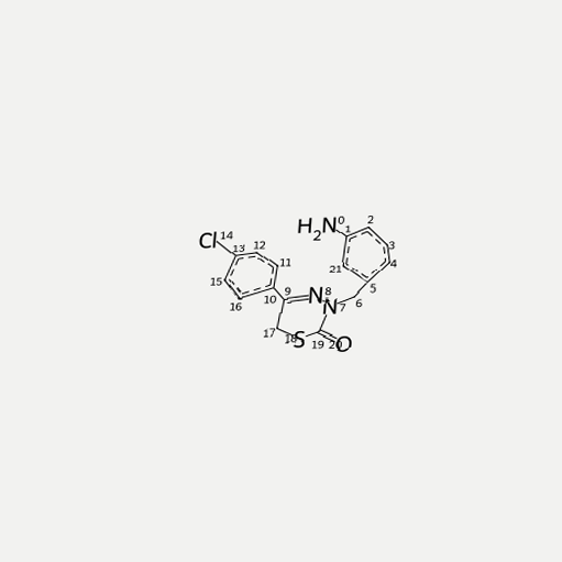 Nc1cccc(CN2N=C(c3ccc(Cl)cc3)CSC2=O)c1